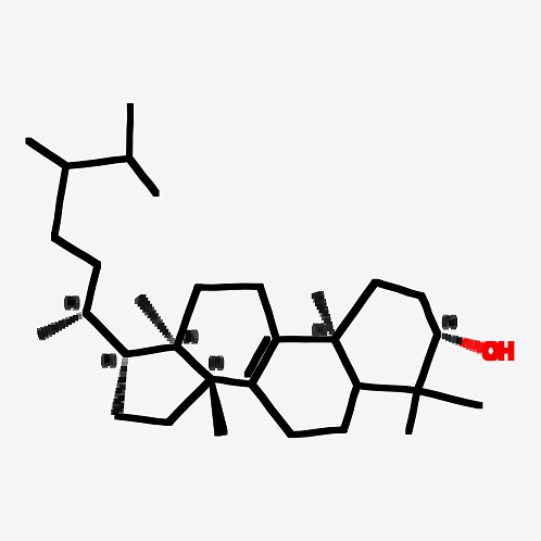 CC(C)C(C)CC[C@@H](C)[C@H]1CC[C@@]2(C)C3=C(CC[C@]12C)[C@@]1(C)CC[C@H](O)C(C)(C)C1CC3